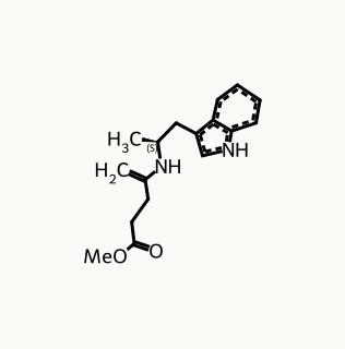 C=C(CCC(=O)OC)N[C@@H](C)Cc1c[nH]c2ccccc12